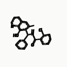 Cc1cc2cccnc2c(O)c1C(NC(=O)c1ccccc1Cl)c1ccccc1